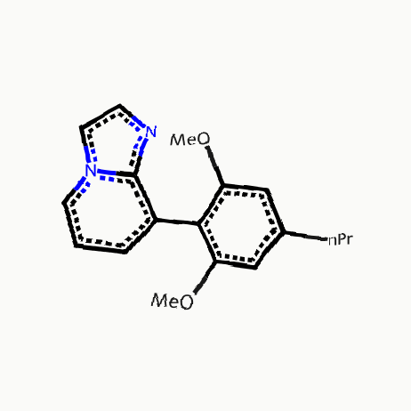 CCCc1cc(OC)c(-c2cccn3ccnc23)c(OC)c1